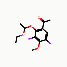 CCOC(C)Oc1c(C(C)=O)cc(I)c(OC)c1I